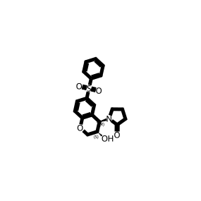 O=C1CCCN1[C@@H]1c2cc(S(=O)(=O)c3ccccc3)ccc2OC[C@H]1O